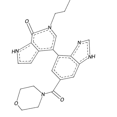 C=CCCn1cc(-c2cc(C(=O)N3CCOCC3)cc3[nH]cnc23)c2cc[nH]c2c1=O